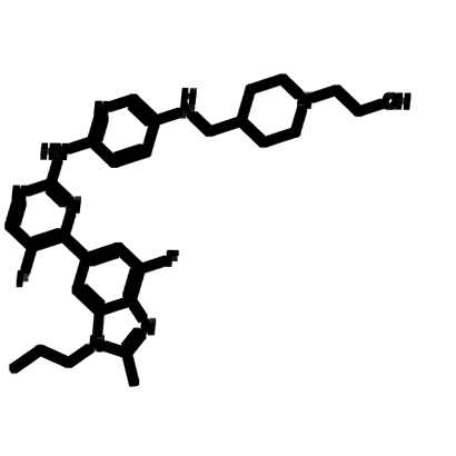 CCCn1c(C)nc2c(F)cc(-c3nc(Nc4ccc(NCC5CCN(CCO)CC5)cn4)ncc3F)cc21